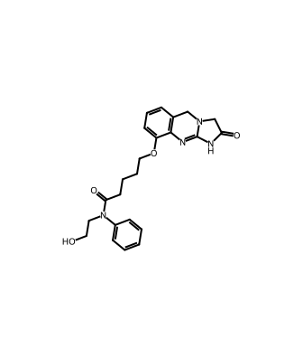 O=C1CN2Cc3cccc(OCCCCC(=O)N(CCO)c4ccccc4)c3N=C2N1